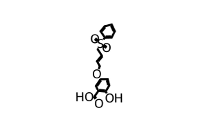 O=C(O)c1cc(OCC=CCS(=O)(=O)c2ccccc2)ccc1O